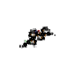 CCCCC(CC)Cc1ccc(-c2c3cc(-c4sc(-c5cc6c(-c7ccc(CC(CC)CCCC)s7)c7sc(-c8cc(F)c(-c9ccc(C(F)(F)F)cc9)cc8F)cc7c(-c7ccc(CC(CC)CCCC)s7)c6s5)c5c4C(=O)N(CC(CC)CCCC)C5=O)sc3c(-c3ccc(CC(CC)CCCC)s3)c3cc(-c4ccc(C)cc4)sc23)s1